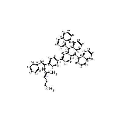 CCC/C=C(\C)n1c(-c2ccc(-c3ccc4c(-c5cccc6ccccc56)c5ccccc5c(-c5cccc6ccccc56)c4c3)cc2)nc2ccccc21